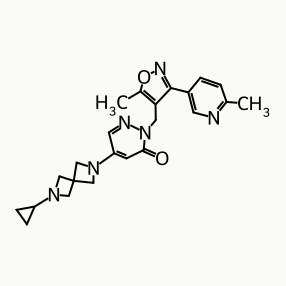 Cc1ccc(-c2noc(C)c2Cn2ncc(N3CC4(C3)CN(C3CC3)C4)cc2=O)cn1